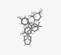 CC1(C)CCC(CN2CC3CCC(C2)N3c2cc3c(cc2F)C(=O)N(C2CCC(=O)NC2=O)C3=O)=C(c2ccc(F)cc2)C1